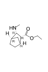 CCOC(=O)[C@@H]1[C@H]2CC[C@H](C2)[C@@H]1NC